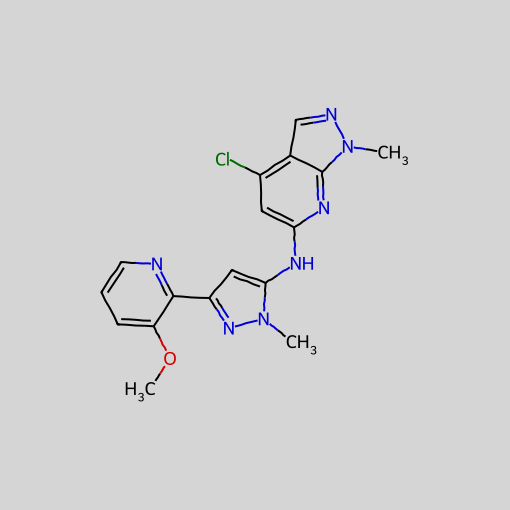 COc1cccnc1-c1cc(Nc2cc(Cl)c3cnn(C)c3n2)n(C)n1